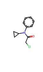 O=C(CCl)N(c1ccccc1)C1CC1